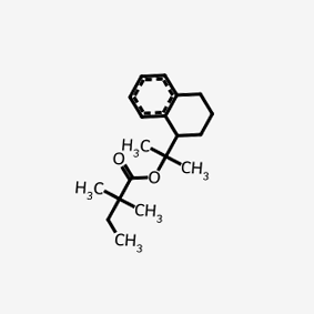 CCC(C)(C)C(=O)OC(C)(C)C1CCCc2ccccc21